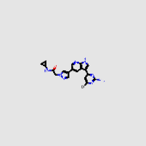 CCc1cc(-c2c[nH]c3ncc(-c4cnn(CC(=O)NC5CC5)c4)cc23)nc(N)n1